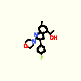 Cc1cc(C(C)O)c2cc(-c3ccc(F)cc3)c(N3CCOCC3)nc2c1